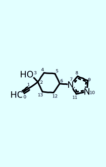 C#CC1(O)CCC(n2ccnc2)CC1